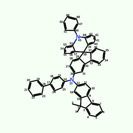 CC1(C)c2ccccc2-c2ccc(N(c3ccc(-c4ccccc4)cc3)c3ccc4c(c3)-c3ccccc3C43c4ccccc4N(c4ccccc4)c4ccccc43)cc21